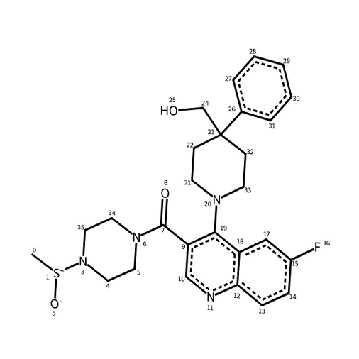 C[S+]([O-])N1CCN(C(=O)c2cnc3ccc(F)cc3c2N2CCC(CO)(c3ccccc3)CC2)CC1